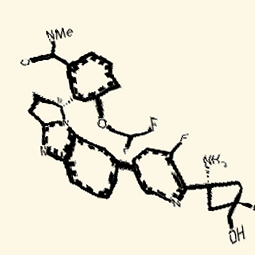 CNC(=O)c1cccc(OC(F)F)c1[C@H]1CCc2nc3ccc(-c4cnc([C@]5(N)C[C@](O)(C(F)(F)F)C5)c(F)c4)cc3n21